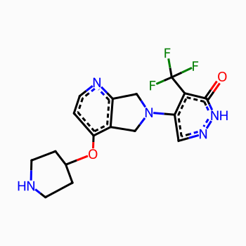 O=c1[nH]ncc(N2Cc3nccc(OC4CCNCC4)c3C2)c1C(F)(F)F